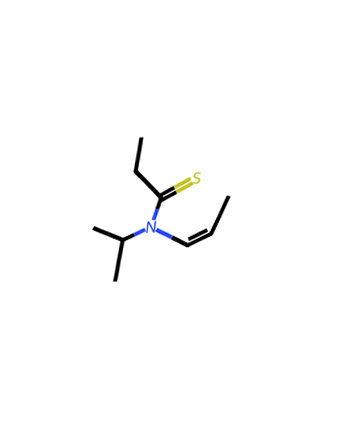 C/C=C\N(C(=S)CC)C(C)C